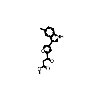 COC(=O)CC(=O)c1cc(-c2c[nH]c3ccc(C)cc23)co1